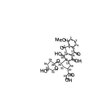 COc1cccc2c1C(=O)c1c(O)c3c(c(O)c1C2=O)CC(C(=O)CO)CC3O[C@@H]1CCC(O)CO1